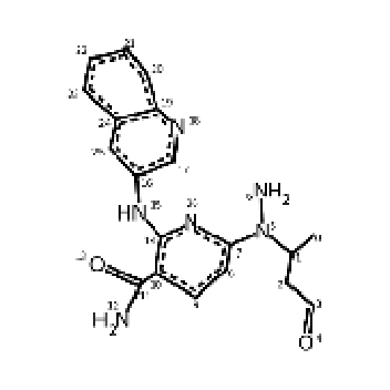 CC(CC=O)N(N)c1ccc(C(N)=O)c(Nc2cnc3ccccc3c2)n1